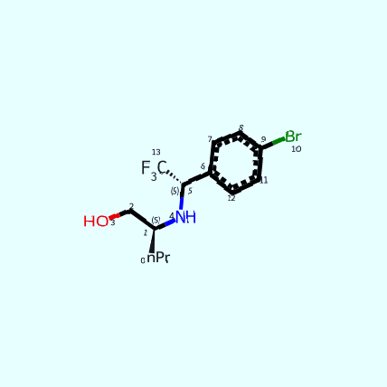 CCC[C@@H](CO)N[C@@H](c1ccc(Br)cc1)C(F)(F)F